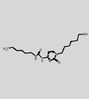 CCCCCCNC(=O)Nc1ccn(CCCCCCO)c(=O)n1